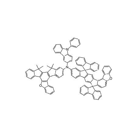 CC1(C)c2ccccc2-c2c1c1c(c3c2oc2ccccc23)-c2ccc(N(c3ccc4c(c3)C3(c5ccccc5-c5ccccc53)c3cc5c(cc3-4)C3(c4ccccc4-c4ccccc43)c3ccc4oc6ccccc6c4c3-5)c3ccc4c(c3)c3ccccc3n4-c3ccccc3)cc2C1(C)C